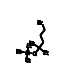 CCC(CC)(CCCBr)O[Si](CC)(CC)CC